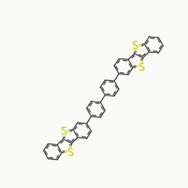 c1ccc2c(c1)sc1c3ccc(-c4ccc(-c5ccc(-c6ccc7c(c6)sc6c8ccccc8sc76)cc5)cc4)cc3sc21